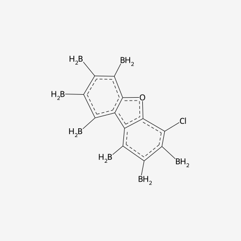 Bc1c(B)c(B)c2c(oc3c(Cl)c(B)c(B)c(B)c32)c1B